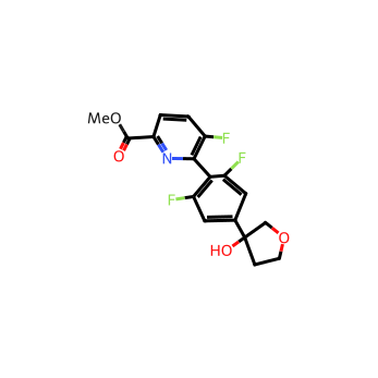 COC(=O)c1ccc(F)c(-c2c(F)cc(C3(O)CCOC3)cc2F)n1